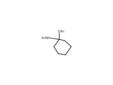 CC(=O)NC1(OC(C)=O)CCCCC1